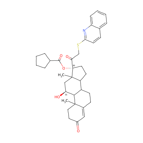 CC12CCC(=O)C=C1CCC1C2[C@@H](O)CC2(C)C1CC[C@]2(OC(=O)C1CCCC1)C(=O)CSc1ccc2ccccc2n1